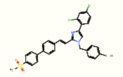 CS(=O)(=O)c1ccc(-c2ccc(C=Cc3nc(-c4ccc(Cl)cc4Cl)cn3Cc3ccc(C(=O)O)cc3)cc2)cc1